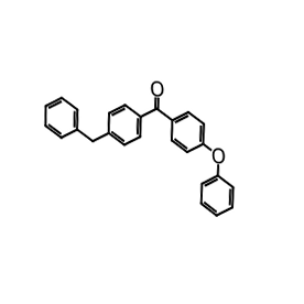 O=C(c1ccc(Cc2ccccc2)cc1)c1ccc(Oc2ccccc2)cc1